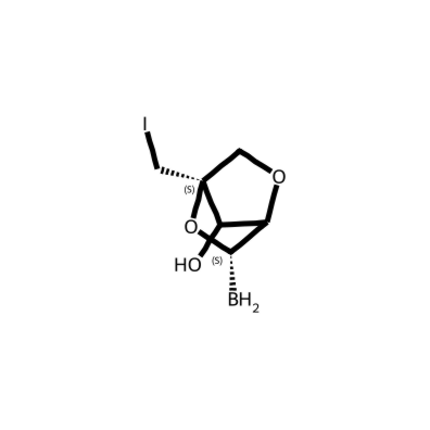 B[C@@H]1O[C@@]2(CI)COC1C2O